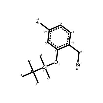 CC(C)(C)[Si](C)(C)Oc1cc(Br)ccc1CBr